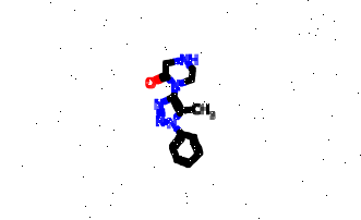 Cc1c(N2CCNCC2=O)nnn1-c1ccccc1